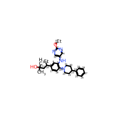 CCOc1ncc(Nc2cc(C(CC)CC(C)(C)O)ccc2N2CCC(c3ccccc3)CC2)cn1